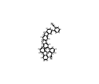 N#Cc1ccccc1-c1ccc2sc3cc4sc5ccc(-c6cccc(C#N)c6-n6c7ccccc7c7ccccc76)cc5c4cc3c2c1